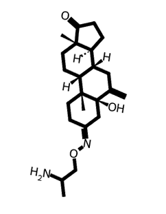 C=C1C[C@@H]2[C@@H](CC[C@]3(C)C(=O)CC[C@@H]23)[C@@]2(C)CCC(=NOCC(C)N)C[C@@]12O